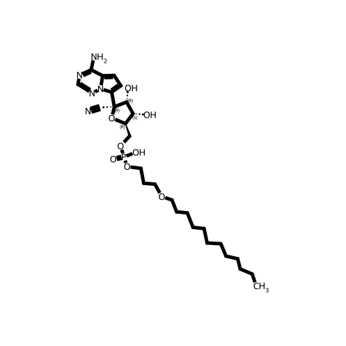 CCCCCCCCCCCCOCCCOP(=O)(O)OC[C@H]1O[C@@](C#N)(c2ccc3c(N)ncnn23)[C@H](O)[C@@H]1O